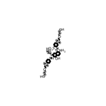 Nc1ccc2c(O)c(/N=N/c3ccc(S(=O)(=O)CCOSOOO)cc3)c(SOOO)cc2c1/N=N/c1cc(S(=O)(=O)CCOSOOO)ccc1S(=O)(=O)O